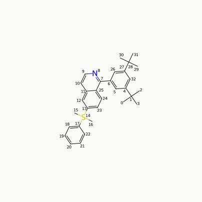 CC(C)(C)c1cc(-c2nccc3cc(S(C)(C)c4ccccc4)ccc23)cc(C(C)(C)C)c1